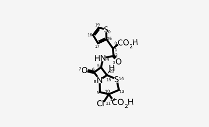 O=C(O)C(C(=O)NC1C(=O)N2CC(Cl)(C(=O)O)CS[C@H]12)c1cccs1